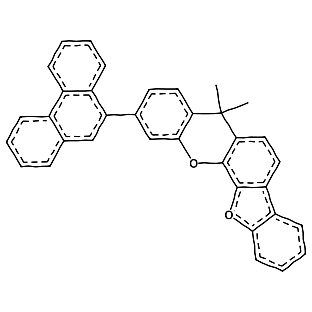 CC1(C)c2ccc(-c3cc4ccccc4c4ccccc34)cc2Oc2c1ccc1c2oc2ccccc21